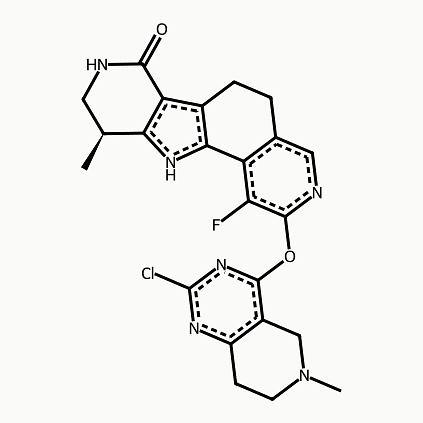 C[C@H]1CNC(=O)c2c1[nH]c1c2CCc2cnc(Oc3nc(Cl)nc4c3CN(C)CC4)c(F)c2-1